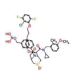 COc1cccc(CN(C(=O)C2=C(c3ccc(CCCOc4c(F)ccc(F)c4Cl)cc3)CC3C[S+]([O-])CC2N3C(=O)Oc2cccc(CON(O)O)c2)C2CC2)c1C